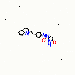 C[n+]1c(C=Cc2ccc(NC(=O)[C@@H]3CCC(=O)N3)cc2)ccc2ccccc21